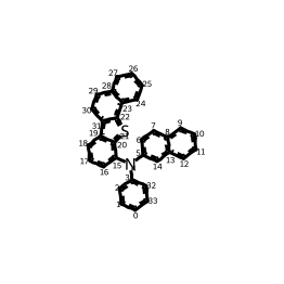 c1ccc(N(c2ccc3ccccc3c2)c2cccc3c2sc2c4ccccc4ccc32)cc1